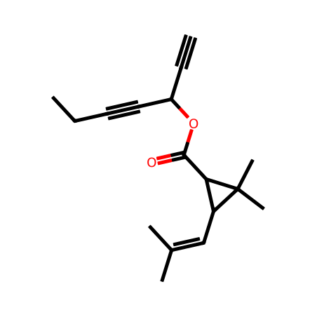 C#CC(C#CCC)OC(=O)C1C(C=C(C)C)C1(C)C